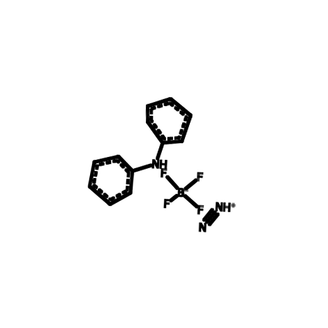 F[B-](F)(F)F.N#[NH+].c1ccc(Nc2ccccc2)cc1